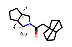 O=C(O)[C@@H]1[C@H]2CCC[C@H]2CN1C(=O)CC12CC3CC1CC3C2